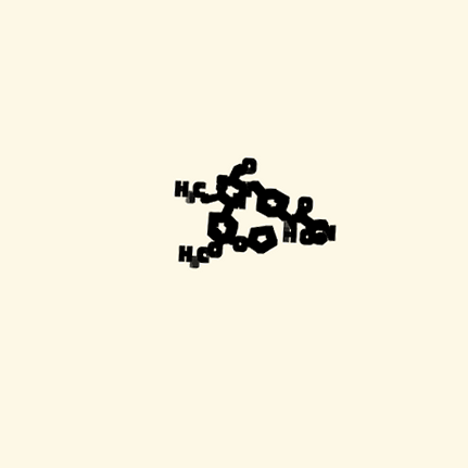 CC[C@H]1SC(C=O)N(Cc2ccc(NC(=O)c3cnco3)cc2)N=C1c1ccc(OC)c(OC2CCCC2)c1